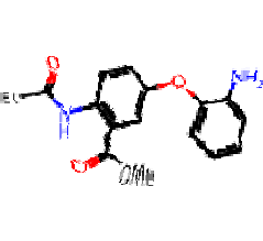 CCC(=O)Nc1ccc(Oc2ccccc2N)cc1C(=O)OC